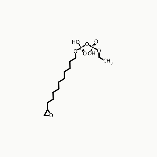 CCOP(=O)(O)OP(=O)(O)OCCCCCCCCCCC1CO1